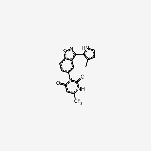 Cc1cc[nH]c1-c1nsc2ccc(-n3c(=O)cc(C(F)(F)F)[nH]c3=O)cc12